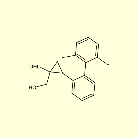 O=CC1(CO)CC1c1ccccc1-c1c(F)cccc1F